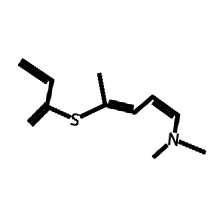 C=CC(=C)S/C(C)=C/C=C\N(C)C